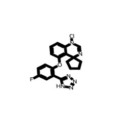 Fc1ccc(Oc2cccc3c2C2(CCCC2)N=CN3Cl)c(-c2nnn[nH]2)c1